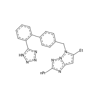 CCCc1nc2cc(CC)n(Cc3ccc(-c4ccccc4-c4nnn[nH]4)cc3)n2n1